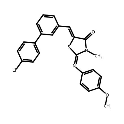 COc1ccc(/N=C2/S/C(=C\c3cccc(-c4ccc(Cl)cc4)c3)C(=O)N2C)cc1